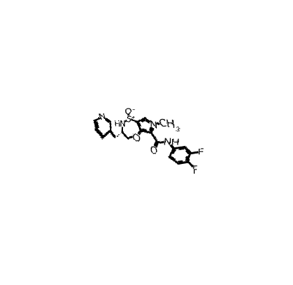 Cn1cc2c(c1C(=O)Nc1ccc(F)c(F)c1)OC[C@H](CC1C=NC=CC1)N[S+]2[O-]